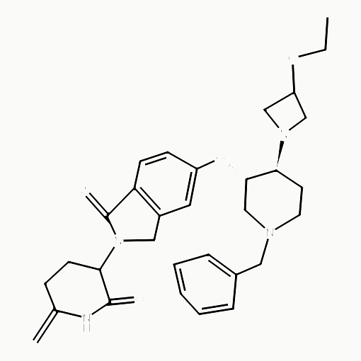 C=C1CCC(N2Cc3cc(O[C@H]4CN(Cc5ccccc5)CC[C@@H]4N4CC(OCC)C4)ccc3C2=O)C(=O)N1